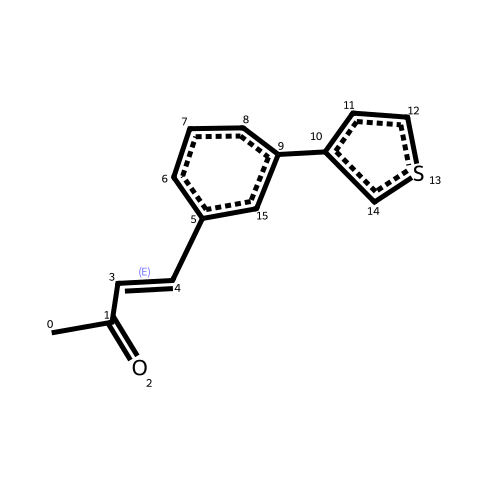 CC(=O)/C=C/c1cccc(-c2ccsc2)c1